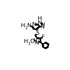 Cn1nc(-c2ccccc2)c(F)c1CSc1cc(N)nc2[nH]nnc12